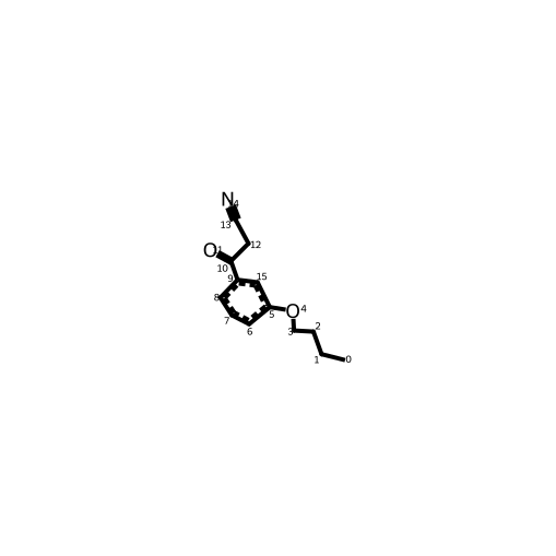 CCCCOc1cccc(C(=O)CC#N)c1